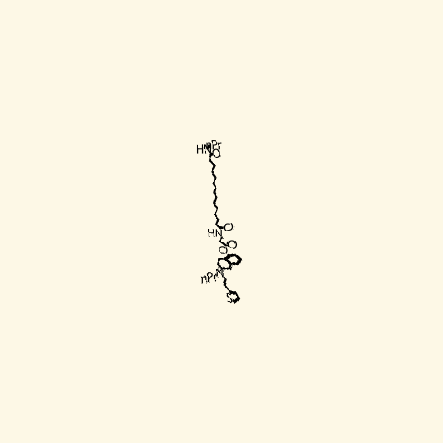 CCCNC(=O)CCCCCCCCCCCCCC(=O)NCCC(=O)Oc1cccc2c1CC[C@H](N(CCC)CCc1cccs1)C2